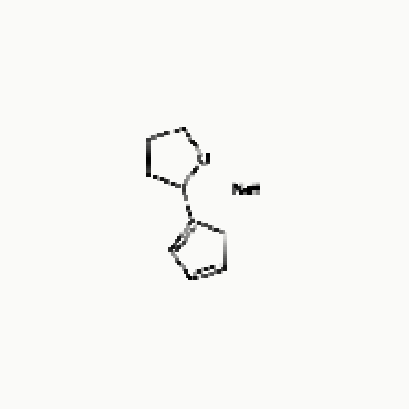 C1=CCC(C2CCCO2)=C1.[NaH]